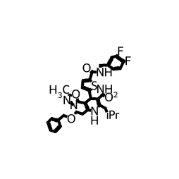 Cc1nnc(C2=C(CCOCc3ccccc3)NC(CC(C)C)=C(C(N)=O)C2c2ccc(C(=O)NCc3ccc(F)c(F)c3)s2)o1